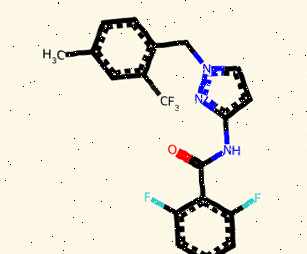 Cc1ccc(Cn2ccc(NC(=O)c3c(F)cccc3F)n2)c(C(F)(F)F)c1